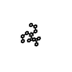 c1ccc(-c2cccc(-c3cccc(-c4nc(-c5cccc(-c6cccc(-c7ccccc7)c6)c5)nc(-n5c6ccccc6c6cc7c(cc65)c5ccccc5n7-c5ccccc5)n4)c3)c2)cc1